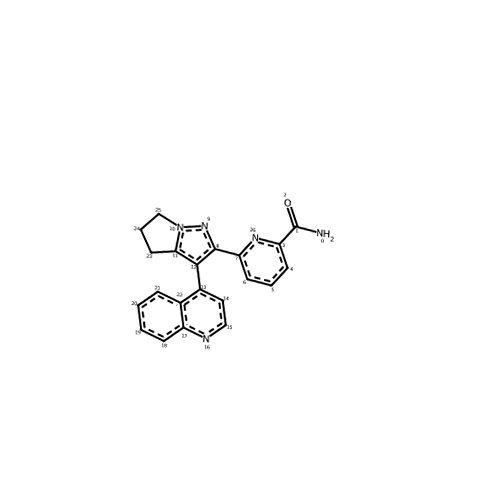 NC(=O)c1cccc(-c2nn3c(c2-c2ccnc4ccccc24)CCC3)n1